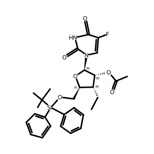 CC[C@H]1[C@@H](OC(C)=O)[C@H](n2cc(F)c(=O)[nH]c2=O)O[C@@H]1CO[Si](c1ccccc1)(c1ccccc1)C(C)(C)C